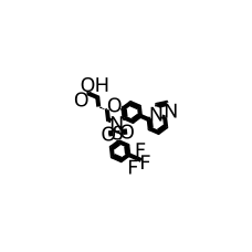 O=C(O)CC[C@H]1CN(S(=O)(=O)c2cccc(C(F)(F)F)c2)c2cc(-c3cccc4nccn34)ccc2O1